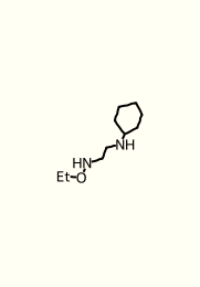 CCONCCNC1CCCCC1